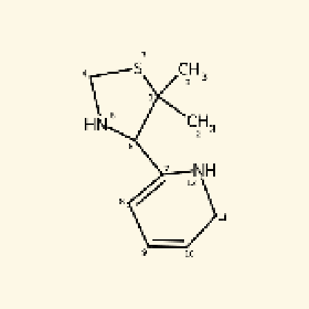 CC1(C)SCNC1C1=[C]C=CCN1